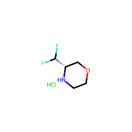 Cl.FC(F)[C@@H]1COCCN1